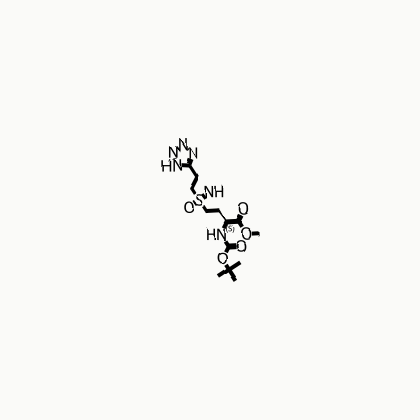 COC(=O)[C@H](CCS(=N)(=O)CCc1nnn[nH]1)NC(=O)OC(C)(C)C